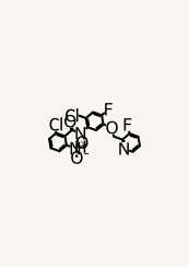 O=C(Nc1cc(OCc2ncccc2F)c(F)cc1Cl)c1c(Cl)cccc1[N+](=O)[O-]